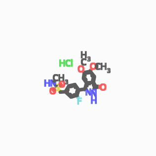 CNS(=O)(=O)Cc1ccc(-c2n[nH]c(=O)c3cc(OC)c(OC)cc23)c(F)c1.Cl